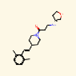 Cc1cccc(C)c1C=CC1CCN(C(=O)CCN[C@@H]2CCOC2)CC1